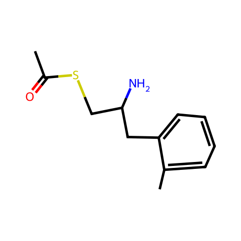 CC(=O)SCC(N)Cc1ccccc1C